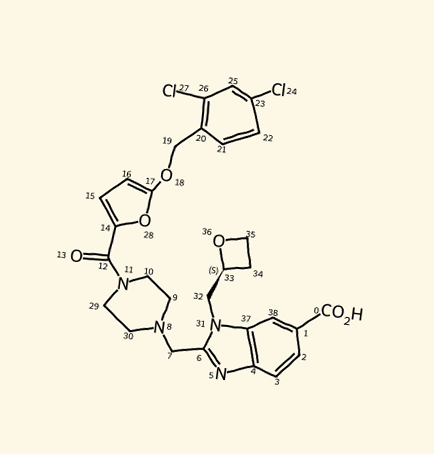 O=C(O)c1ccc2nc(CN3CCN(C(=O)c4ccc(OCc5ccc(Cl)cc5Cl)o4)CC3)n(C[C@@H]3CCO3)c2c1